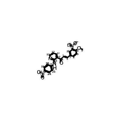 COc1ccc(/C=C/C(=O)c2cccnc2Nc2ccc([N+](=O)[O-])cc2)cc1[N+](=O)[O-]